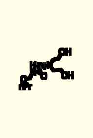 CCCOCNC(=O)NN(CCO)CCO